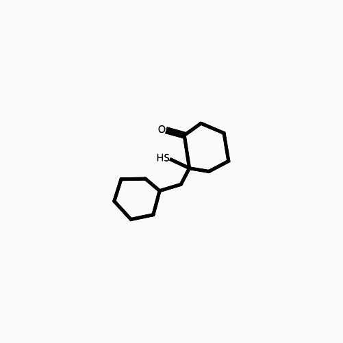 O=C1CCCCC1(S)CC1CCCCC1